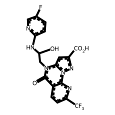 O=C(O)c1cc2n(CC(O)Nc3ccc(F)cn3)c(=O)c3ccc(C(F)(F)F)nc3n2n1